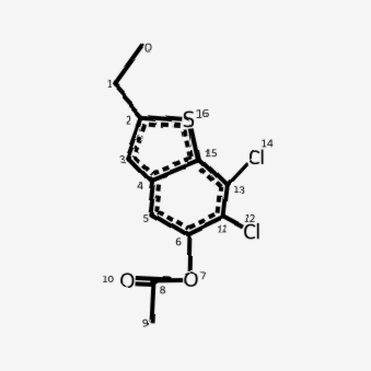 CCc1cc2cc(OC(C)=O)c(Cl)c(Cl)c2s1